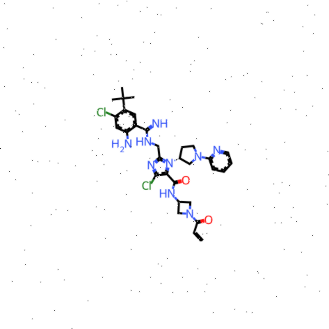 C=CC(=O)N1CC(NC(=O)c2c(Cl)nc(CNC(=N)c3cc(C(C)(C)C)c(Cl)cc3N)n2[C@@H]2CCN(c3ccccn3)C2)C1